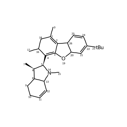 CC1=C2C(=C([C@@H]3[C@H](C)C4CCC=CC4N3C)C(C)C1)OC1C=C(C(C)(C)C)C=CC21